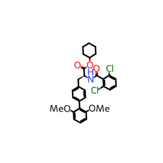 COc1cccc(OC)c1-c1ccc(C[C@H](NC(=O)c2c(Cl)cccc2Cl)C(=O)OC2CCCCC2)cc1